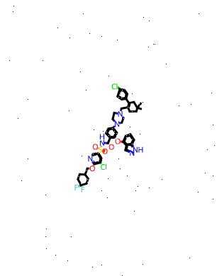 CC1(C)CCC(CN2CCN(c3ccc(C(=O)NS(=O)(=O)c4cnc(OCC5CCC(F)(F)CC5)c(Cl)c4)c(Oc4cccc5[nH]ncc45)c3)CC2)=C(c2ccc(Cl)cc2)C1